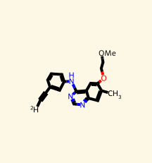 [2H]C#Cc1cccc(Nc2ncnc3cc(C)c(OCCOC)cc23)c1